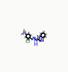 CN(C)c1ccc(C=NNc2cnc3ccccc3n2)c(Cl)c1